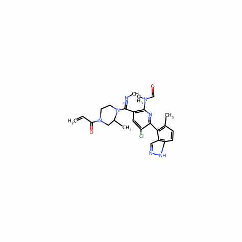 C=CC(=O)N1CCN(/C(=N/C)c2cc(Cl)c(-c3c(C)ccc4[nH]ncc34)nc2N(C)C=O)C(C)C1